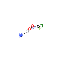 Fc1cc(/C=C/c2nc(COc3ccc(CCCCn4ccnn4)cc3)co2)ccc1Cl